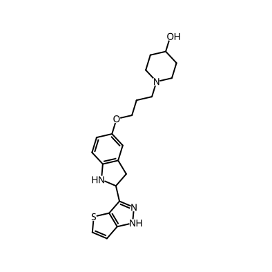 OC1CCN(CCCOc2ccc3c(c2)CC(c2n[nH]c4ccsc24)N3)CC1